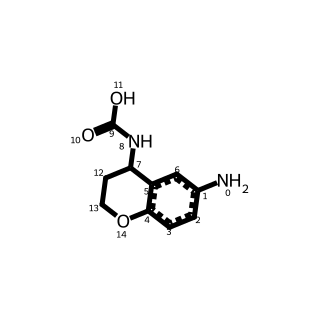 Nc1ccc2c(c1)C(NC(=O)O)CCO2